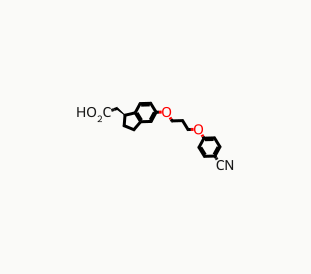 N#Cc1ccc(OCCCOc2ccc3c(c2)CC[C@H]3CC(=O)O)cc1